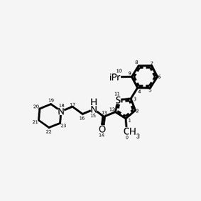 Cc1cc(-c2ccccc2C(C)C)sc1C(=O)NCCN1CCCCC1